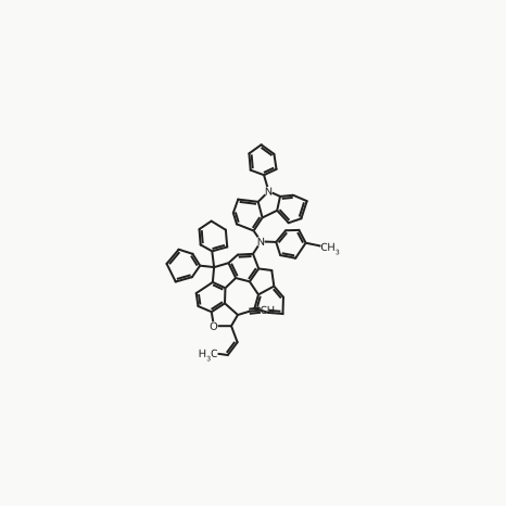 C#CC1c2c(ccc3c2-c2c(cc(N(c4ccc(C)cc4)c4cccc5c4c4ccccc4n5-c4ccccc4)c4c2-c2ccccc2C4)C3(C2=CCCC=C2)c2ccccc2)OC1/C=C\C